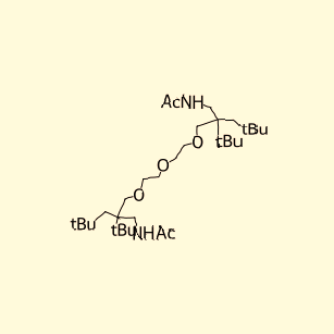 CC(=O)NCC(COCCOCCOCC(CNC(C)=O)(CC(C)(C)C)C(C)(C)C)(CC(C)(C)C)C(C)(C)C